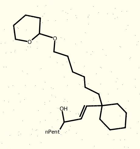 CCCCCC(O)C=CC1(CCCCCCOC2CCCCO2)CCCCC1